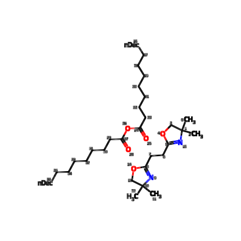 CC1(C)COC(CCC2=NC(C)(C)CO2)=N1.CCCCCCCCCCCCCCCCCC(=O)OC(=O)CCCCCCCCCCCCCCCCC